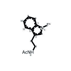 CC(=O)NCCc1cn(F)c2ccccc12